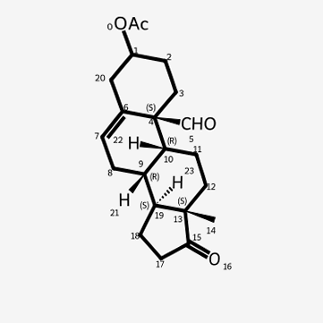 CC(=O)OC1CC[C@@]2(C=O)C(=CC[C@@H]3[C@H]2CC[C@]2(C)C(=O)CC[C@@H]32)C1